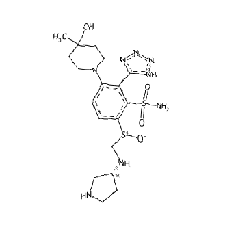 CC1(O)CCN(c2ccc([S+]([O-])CN[C@@H]3CCNC3)c(S(N)(=O)=O)c2-c2nnn[nH]2)CC1